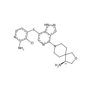 Nc1nccc(Sc2cnc(N3CCC4(CC3)COC[C@H]4N)c3cn[nH]c23)c1Cl